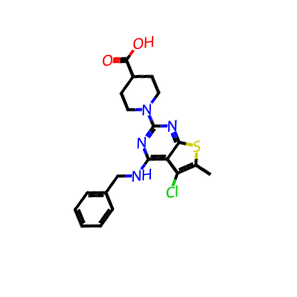 Cc1sc2nc(N3CCC(C(=O)O)CC3)nc(NCc3ccccc3)c2c1Cl